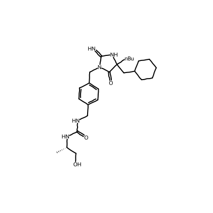 CCCCC1(CC2CCCCC2)NC(=N)N(Cc2ccc(CNC(=O)N[C@@H](C)CO)cc2)C1=O